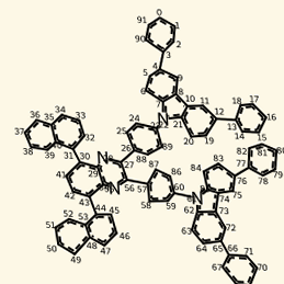 c1ccc(-c2ccc3c(c2)c2cc(-c4ccccc4)ccc2n3-c2ccc(-c3nc4c(-c5cccc6ccccc56)ccc(-c5cccc6ccccc56)c4nc3-c3ccc(-n4c5ccc(-c6ccccc6)cc5c5cc(-c6ccccc6)ccc54)cc3)cc2)cc1